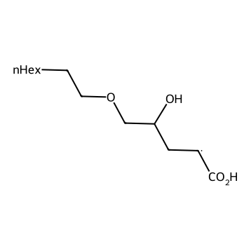 CCCCCCCCOCC(O)C[CH]C(=O)O